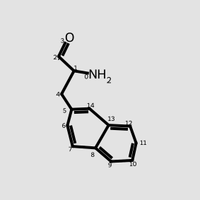 NC([C]=O)Cc1ccc2ccccc2c1